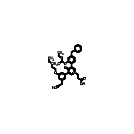 C#CCc1cc(OCCOCC)cc(-c2cn(CCC(=O)O)cc(-c3ccc(Cc4ccccc4)cc3OC(C)OCC)c2=O)c1